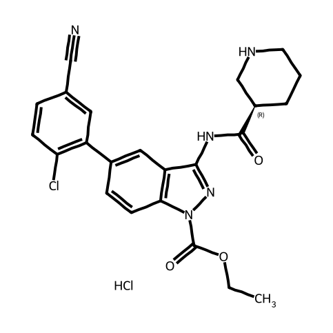 CCOC(=O)n1nc(NC(=O)[C@@H]2CCCNC2)c2cc(-c3cc(C#N)ccc3Cl)ccc21.Cl